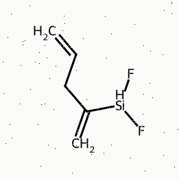 C=CCC(=C)[SiH](F)F